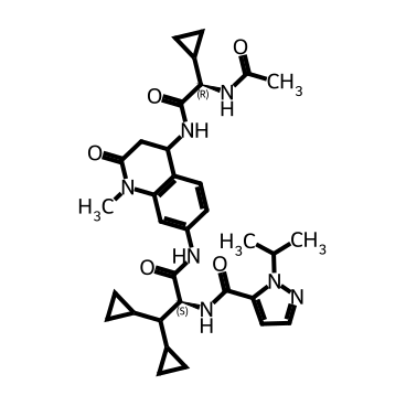 CC(=O)N[C@@H](C(=O)NC1CC(=O)N(C)c2cc(NC(=O)[C@@H](NC(=O)c3ccnn3C(C)C)C(C3CC3)C3CC3)ccc21)C1CC1